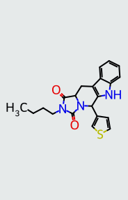 CCCCN1C(=O)C2Cc3c([nH]c4ccccc34)C(c3ccsc3)N2C1=O